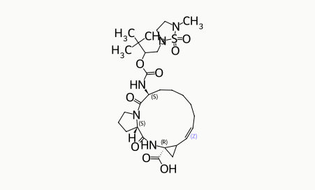 CN1CCN(CC(OC(=O)N[C@H]2CCCCC/C=C\C3C[C@@]3(C(=O)O)NC(=O)[C@@H]3CCCN3C2=O)C(C)(C)C)S1(=O)=O